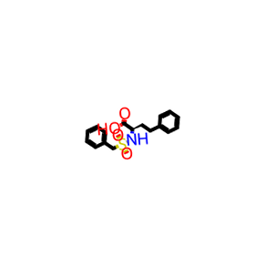 O=C(O)[C@@H](CCc1ccccc1)NS(=O)(=O)Cc1ccccc1